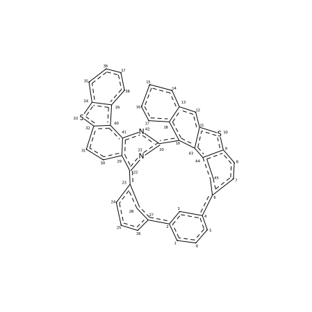 c1cc2cc(c1)c1ccc3sc4cc5ccccc5c(c5nc(c6cccc2c6)c2ccc6sc7ccccc7c6c2n5)c4c3c1